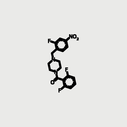 O=C(c1c(F)cccc1F)N1CCN(Cc2ccc([N+](=O)[O-])cc2F)CC1